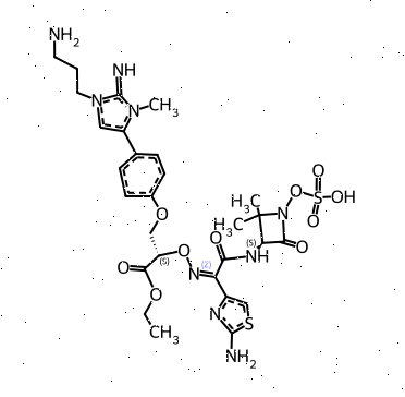 CCOC(=O)[C@H](COc1ccc(-c2cn(CCCN)c(=N)n2C)cc1)O/N=C(\C(=O)N[C@@H]1C(=O)N(OS(=O)(=O)O)C1(C)C)c1csc(N)n1